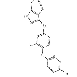 Fc1cc(Nc2n[nH]c3c2N=CCC3)ccc1Oc1ccc(Cl)cn1